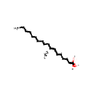 CCCCCCCCCCCCCCCCCC1(O)OO1.[Zn].[Zn]